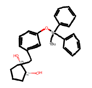 CC(C)(C)[Si](Oc1cccc(C[C@]2(O)CCC[C@H]2O)c1)(c1ccccc1)c1ccccc1